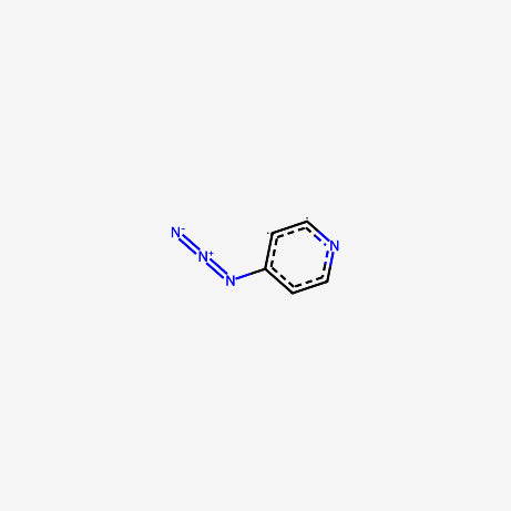 [N-]=[N+]=Nc1[c][c]ncc1